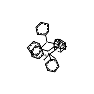 C[C@](O)(I)[C@@]12[CH]3[CH]4[CH]5[C]1(P(c1ccccc1)c1ccccc1)[Fe]45321678[CH]2[CH]1[CH]6[C]7(P(c1ccccc1)c1ccccc1)[CH]28